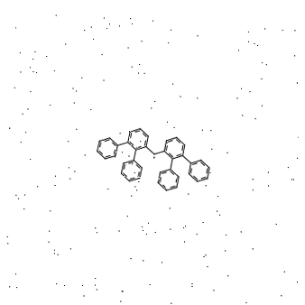 [CH](c1cccc(-c2ccccc2)c1-c1ccccc1)c1cccc(-c2ccccc2)c1-c1ccccc1